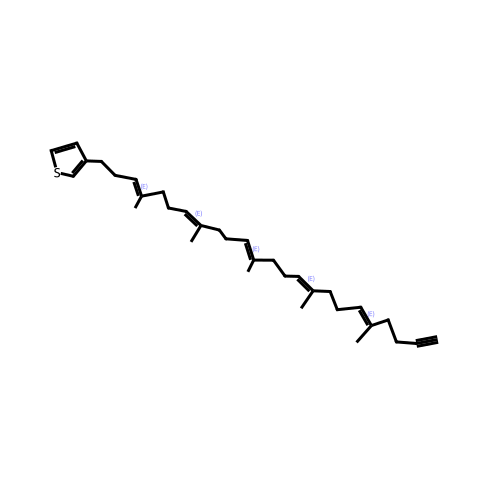 C#CCC/C(C)=C/CC/C(C)=C/CC/C(C)=C/CC/C(C)=C/CC/C(C)=C/CCc1ccsc1